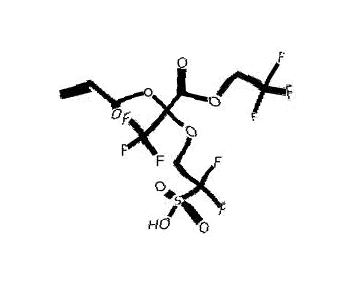 C=CC(=O)OC(OCC(F)(F)S(=O)(=O)O)(C(=O)OCC(F)(F)F)C(F)(F)F